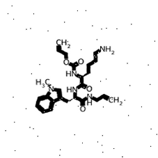 C=CCNC(=O)[C@H](Cc1cn(C)c2ccccc12)NC(=O)[C@H](CCCCN)NC(=O)OCC=C